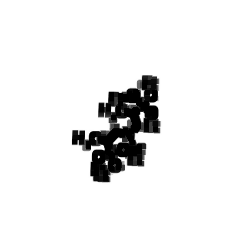 CCO[Si](OCC)(OCC)C(C)CN(CC(C)[Si](OCC)(OCC)OCC)C(C)=O